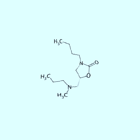 CCCCN1C[C@@H](CN(C)CCC)OC1=O